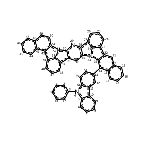 c1ccc(-n2c3ccccc3c3cc(-c4c5ccccc5cc5c6cccc7c8nc9c(cc8n(c45)c67)c4cccc5c6c7ccccc7ccc6n9c45)ccc32)cc1